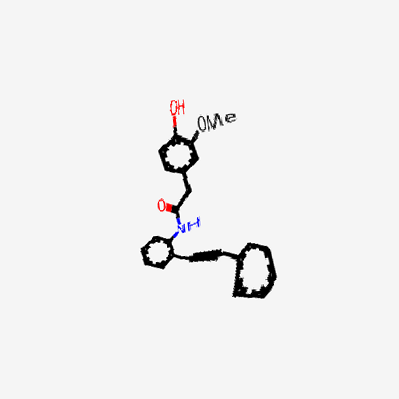 COc1cc(CC(=O)Nc2ccccc2C#Cc2ccccc2)ccc1O